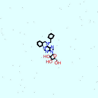 OC[C@H]1O[C@@H](n2cnc3c(N(Cc4ccccc4)Cc4ccccc4)ncnc32)[C@H](O)[C@@H]1O